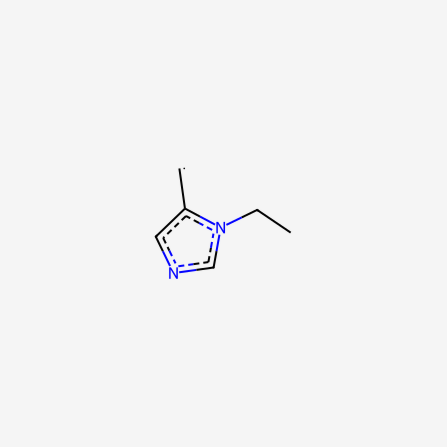 [CH2]c1cncn1CC